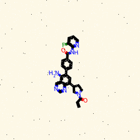 C=CC(=O)N1CCC(c2cc(-c3ccc(C(=O)Nc4ncccc4F)cc3)c(N)c3cncnc23)C1